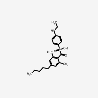 CCCCCc1cc(C)c(C(=O)P(=O)(O)c2ccc(NCC)cc2)c(C)c1